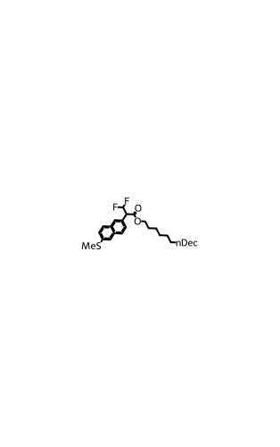 CCCCCCCCCCCCCCCCOC(=O)C(c1ccc2cc(SC)ccc2c1)C(F)F